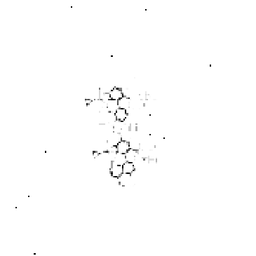 Cc1cc2nc(C3CC3)sc2c(-c2ccc3c(c2Cl)NCC(c2c(C)c([C@H](OC(C)(C)C)C(=O)O)c(-c4ccc5c6c(ccnc46)CCO5)c4sc(C5CC5)nc24)O3)c1[C@H](OC(C)(C)C)C(=O)O